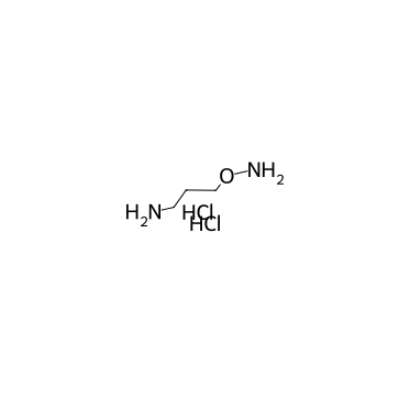 Cl.Cl.NCCCON